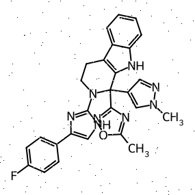 Cc1nc(C2(c3cnn(C)c3)c3[nH]c4ccccc4c3CCN2c2nc(-c3ccc(F)cc3)c[nH]2)no1